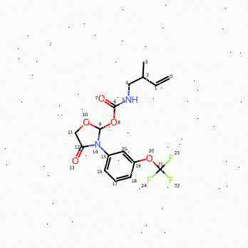 C=CC(C)CNC(=O)OC1OCC(=O)N1c1cccc(OC(F)(F)F)c1